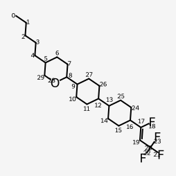 CCCCCC1CCC(C2CCC(C3CCC(/C(F)=C/C(F)(F)F)CC3)CC2)OC1